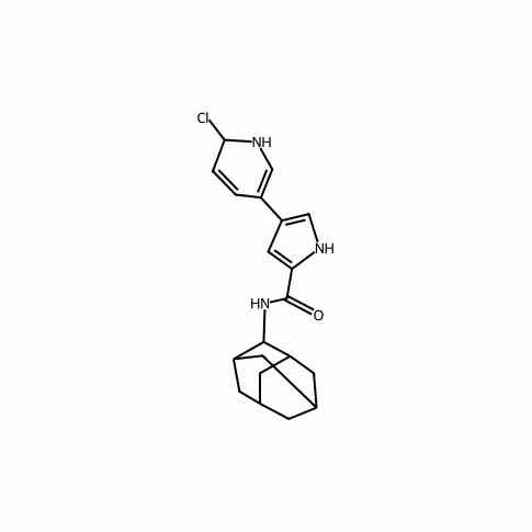 O=C(NC1C2CC3CC(C2)CC1C3)c1cc(C2=CNC(Cl)C=C2)c[nH]1